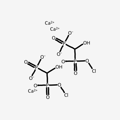 O=P([O-])([O-])C(O)P(=O)([O-])OCl.O=P([O-])([O-])C(O)P(=O)([O-])OCl.[Ca+2].[Ca+2].[Ca+2]